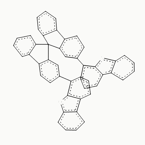 c1ccc2c(c1)-c1ccc(-c3cccc4c3oc3ccccc34)cc1C21c2ccccc2-c2ccc(-c3cccc4c3sc3ccccc34)cc21